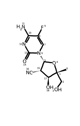 C[C@]1(CO)O[C@@H](n2cc(F)c(N)nc2=O)[C@@H](C#N)[C@@H]1O